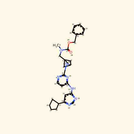 CN(CC12CC(C1)N(c1nccc(Nc3cc(C4CCCC4)ncn3)n1)C2)C(=O)OCc1ccccc1